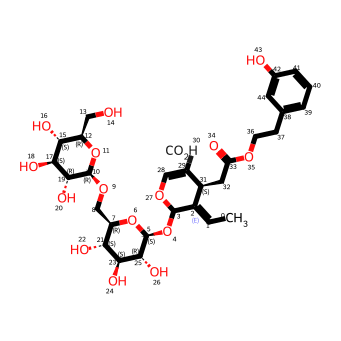 C/C=C1/C(O[C@@H]2O[C@H](CO[C@@H]3O[C@H](CO)[C@@H](O)[C@H](O)[C@H]3O)[C@@H](O)[C@H](O)[C@H]2O)OC=C(C(=O)O)[C@H]1CC(=O)OCCc1cccc(O)c1